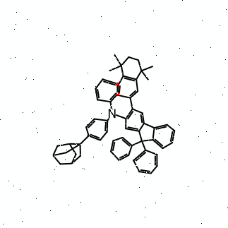 CC1(C)CCC(C)(C)c2cc(-c3cc4c(cc3N(c3ccccc3)c3ccc(C56CC7CC(CC5C7)C6)cc3)C(c3ccccc3)(c3ccccc3)c3ccccc3-4)ccc21